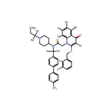 [2H]c1c(C)c([2H])c2c(c1[2H])c(=O)c([2H])c(SCc1cccc(F)c1F)n2CC(=O)N(C1CCN(C([2H])([2H])COC)CC1)C([2H])([2H])c1ccc(-c2ccc(C(F)(F)F)cc2)cc1